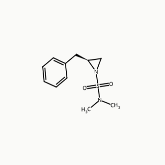 CN(C)S(=O)(=O)N1C[C@@H]1Cc1ccccc1